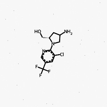 NC1C[C@@H](CO)N(c2ncc(C(F)(F)F)cc2Cl)C1